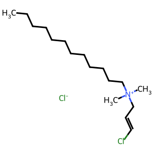 CCCCCCCCCCCC[N+](C)(C)CC=CCl.[Cl-]